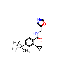 CC(C)(C)c1ccc(C(=O)NCc2cnco2)c(C2CC2)c1